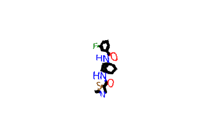 Cc1ncc(C(=O)NC23CCCC(NC(=O)c4cccc(F)c4)(CC2)C3)s1